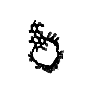 COc1c(C)cc(C)c2nc3c4c(C(C)=O)c5c(C)c(O)c4c(=O)c(c-3oc12)NC(=O)/C(C)=C\C=C\[C@H](C)[C@H](O)[C@@H](C)[C@@H](O)[C@@H](C)[C@H](O)[C@H](C)[C@@H](OC)/C=C/O[C@@H](C)O5